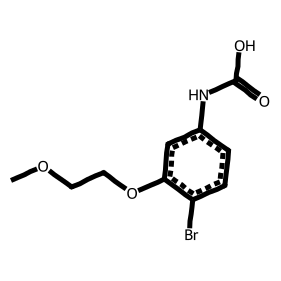 COCCOc1cc(NC(=O)O)ccc1Br